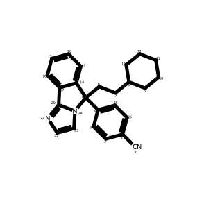 N#Cc1ccc(C2(CCC3CCCCC3)c3ccccc3-c3nccn32)cc1